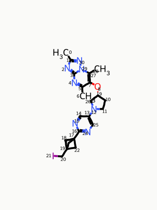 Cc1nc2nc(C)c(O[C@@H]3CCN(c4cnc(C56CC(CI)(C5)C6)nc4)C3)c(C)n2n1